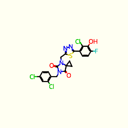 O=C1N(Cc2ccc(Cl)cc2Cl)C(=O)C2(CC2)N1Cc1nnc(-c2ccc(F)c(O)c2Cl)s1